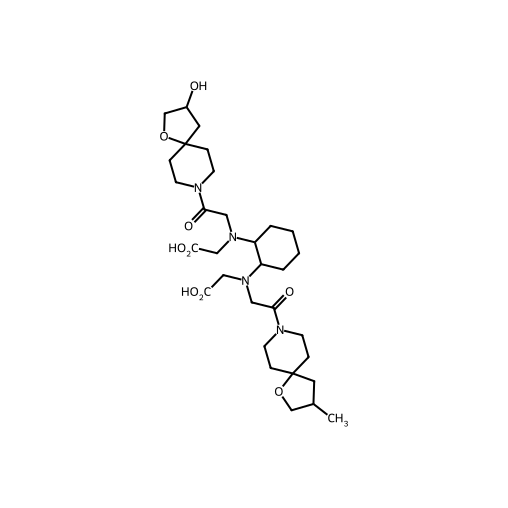 CC1COC2(CCN(C(=O)CN(CC(=O)O)C3CCCCC3N(CC(=O)O)CC(=O)N3CCC4(CC3)CC(O)CO4)CC2)C1